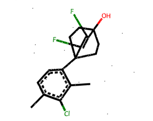 Cc1ccc(C23CCC(O)(CC2)C(F)=C3F)c(C)c1Cl